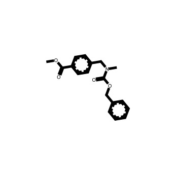 COC(=O)c1ccc(CN(C)C(=O)OCc2ccccc2)cc1